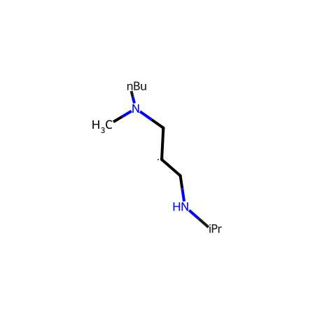 CCCCN(C)C[CH]CNC(C)C